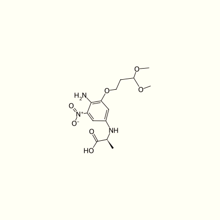 COC(CCOc1cc(N[C@@H](C)C(=O)O)cc([N+](=O)[O-])c1N)OC